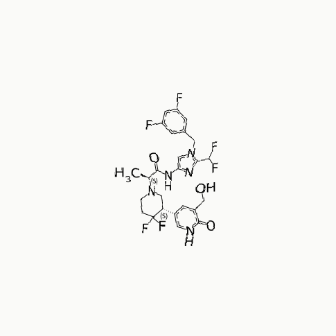 C[C@@H](C(=O)Nc1cn(Cc2cc(F)cc(F)c2)c(C(F)F)n1)N1CCC(F)(F)[C@@H](c2c[nH]c(=O)c(CO)c2)C1